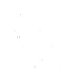 CCCc1c(N)cccc1C1(C)CC(O)=C(N(CCC)c2ccccc2)C(=O)O1